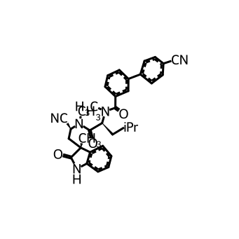 CC(C)C[C@@H](C(=O)N(C)[C@H](C#N)C[C@@]1(C)C(=O)Nc2ccccc21)N(C)C(=O)c1cccc(-c2ccc(C#N)cc2)c1